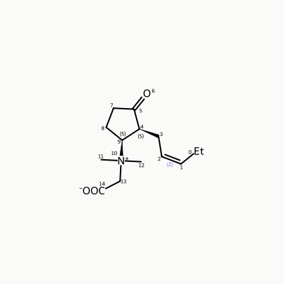 CC/C=C\C[C@@H]1C(=O)CC[C@@H]1[N+](C)(C)CC(=O)[O-]